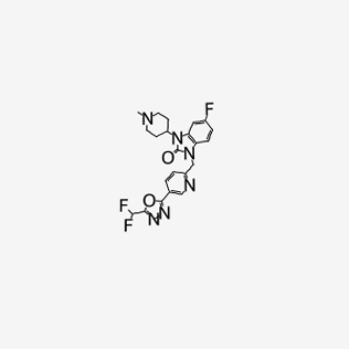 CN1CCC(n2c(=O)n(Cc3ccc(-c4nnc(C(F)F)o4)cn3)c3ccc(F)cc32)CC1